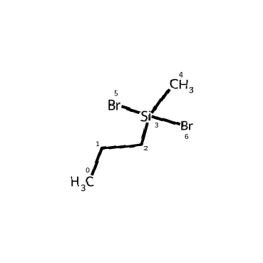 CCC[Si](C)(Br)Br